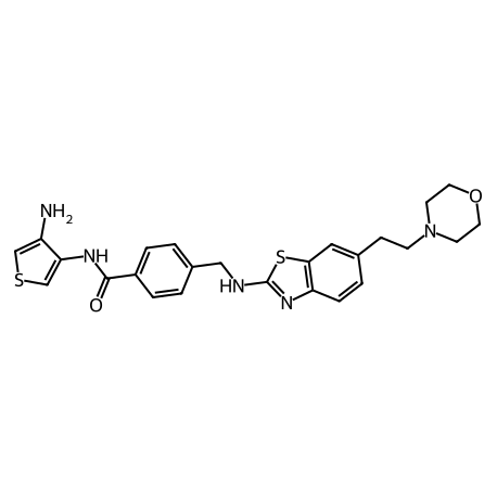 Nc1cscc1NC(=O)c1ccc(CNc2nc3ccc(CCN4CCOCC4)cc3s2)cc1